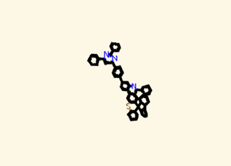 c1ccc(-c2cc(-c3ccc(-c4ccc5c(c4)nc(-c4ccccc4)c4cc6c(cc45)Sc4ccccc4C64c5ccccc5-c5ccccc54)cc3)nc(-c3ccccc3)n2)cc1